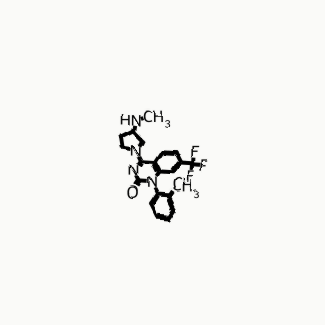 CNC1CCN(c2nc(=O)n(-c3ccccc3C)c3cc(C(F)(F)F)ccc23)C1